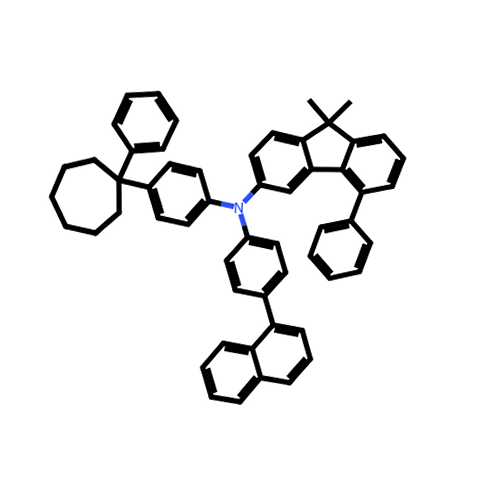 CC1(C)c2ccc(N(c3ccc(-c4cccc5ccccc45)cc3)c3ccc(C4(c5ccccc5)CCCCCC4)cc3)cc2-c2c(-c3ccccc3)cccc21